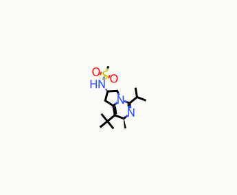 CC(C)C1=N[C@@H](C)C(C(C)(C)C)=C2C[C@H](NS(C)(=O)=O)CN12